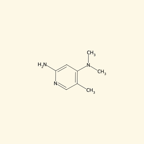 Cc1cnc(N)cc1N(C)C